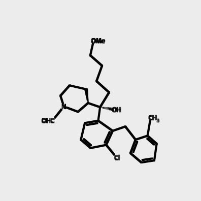 COCCCC[C@@](O)(c1cccc(Cl)c1Cc1ccccc1C)[C@@H]1CCCN(C=O)C1